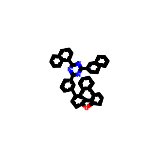 c1cc(-c2nc(-c3ccc4ccccc4c3)nc(-c3cccc4ccccc34)n2)cc(-c2ccc3oc4cccc5c6ccccc6c2c3c45)c1